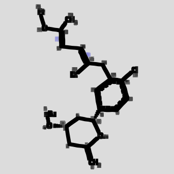 C=C1C[C@H](OCCCC)C[C@H](c2ccc(Cl)c(C/C(=C/C=C(\C)OCC)CC)c2)O1